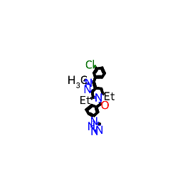 CCC1Cc2c(nn(C)c2-c2cccc(Cl)c2)C(CC)N1C(=O)c1cccc(-n2cnnn2)c1